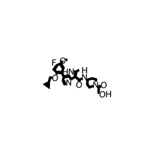 COc1cc(-c2ccnc3c(C(=O)NC4CCN(C(=O)CO)CC4)c(C)[nH]c23)c(OCC2CC2)cc1F